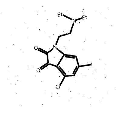 CCN(CC)CCN1C(=O)C(=O)c2c(Cl)cc(I)cc21